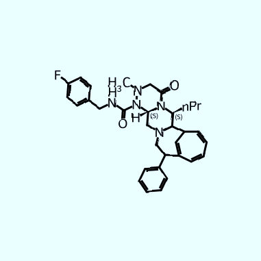 CCC[C@H]1C2C3C=CC=CC(=C3)C(c3ccccc3)CN2C[C@H]2N1C(=O)CN(C)N2C(=O)NCc1ccc(F)cc1